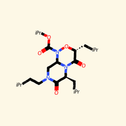 CC(C)CCN1CC2N(C(=O)OC(C)C)O[C@H](CC(C)C)C(=O)N2[C@@H](CC(C)C)C1=O